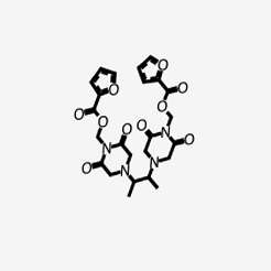 CC(C(C)N1CC(=O)N(COC(=O)c2ccco2)C(=O)C1)N1CC(=O)N(COC(=O)c2ccco2)C(=O)C1